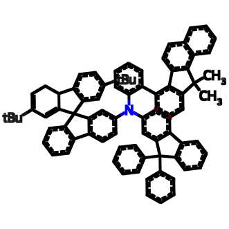 CC(C)(C)C1=CCC2C(=C1)C1(c3ccccc3-c3ccc(N(c4ccc5c(c4)C(c4ccccc4)(c4ccccc4)c4ccccc4-5)c4ccccc4-c4cccc5c4-c4ccc6ccccc6c4C5(C)C)cc31)c1cc(C(C)(C)C)ccc12